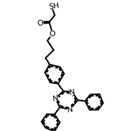 O=C(CS)OCCCc1ccc(-c2nc(-c3ccccc3)nc(-c3ccccc3)n2)cc1